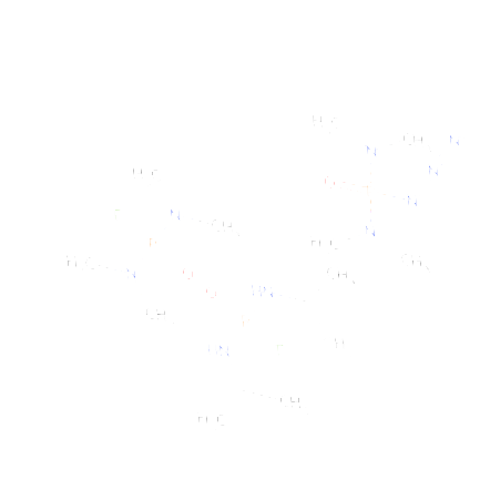 CC(C)NP(=O)(F)NC(C)C.CN(C)P(=O)(F)N(C)C.CN(C)P(=O)(N=[N+]=[N-])N(C)C